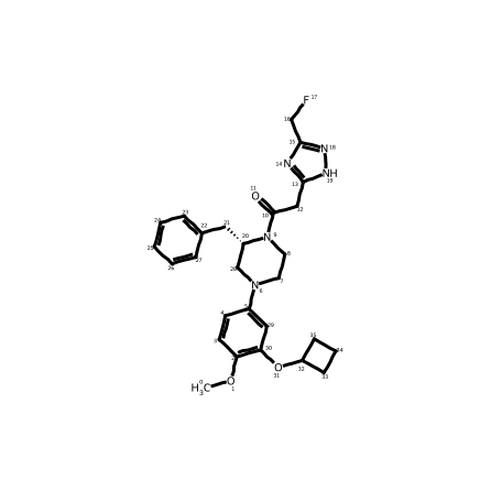 COc1ccc(N2CCN(C(=O)Cc3nc(CF)n[nH]3)[C@@H](Cc3ccccc3)C2)cc1OC1CCC1